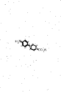 Nc1ccc(N2CCN(C(=O)O)CC2)cc1